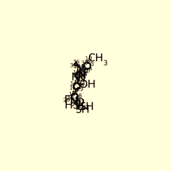 CC[C@@H]1CC[C@H](F)[C@H](N(c2cnc(-c3ccc(-c4cc(F)nc(OC(S)(S)S)c4)cc3O)nn2)C2CC2)C1